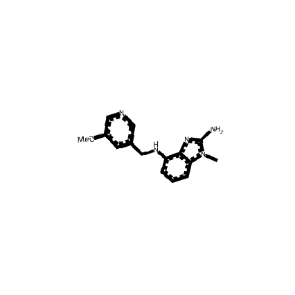 COc1cncc(CNc2cccc3c2nc(N)n3C)c1